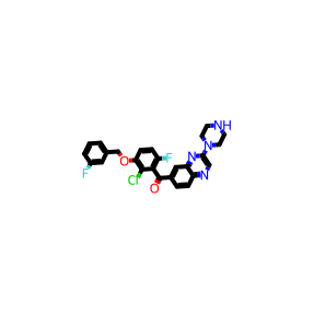 O=C(c1ccc2ncc(N3CCNCC3)nc2c1)c1c(F)ccc(OCc2cccc(F)c2)c1Cl